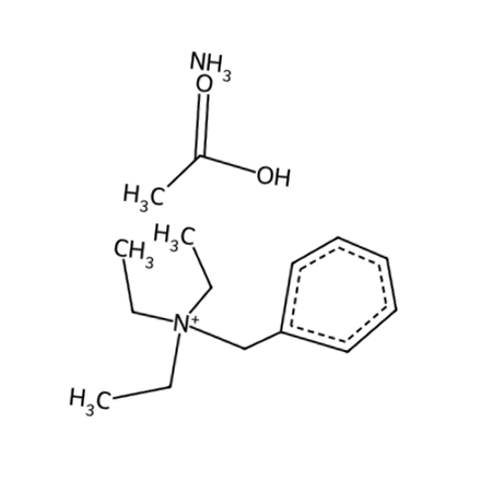 CC(=O)O.CC[N+](CC)(CC)Cc1ccccc1.N